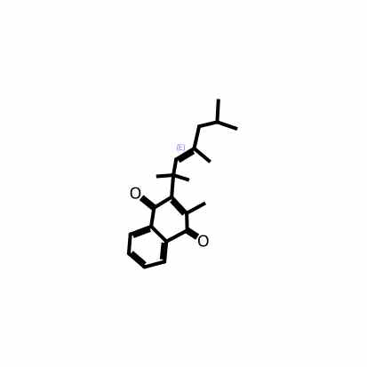 CC1=C(C(C)(C)/C=C(\C)CC(C)C)C(=O)c2ccccc2C1=O